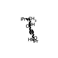 CC(C)CCN(C)CCNC(=O)CCN1CCN(CCC(=O)NC(C)C)CC1